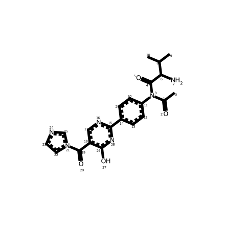 CC(=O)N(C(=O)C(N)C(C)C)c1ccc(-c2ncc(C(=O)n3ccnc3)c(O)n2)cc1